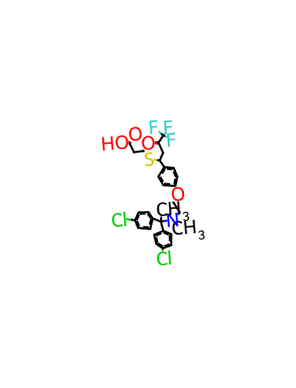 CN(CCOc1ccc(C(CC(=O)C(F)(F)F)SCCC(=O)O)cc1)C(C)(c1ccc(Cl)cc1)c1ccc(Cl)cc1